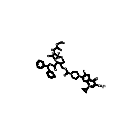 CC(C)(C)OC(=O)N[C@@H]1C(=O)N2C(C(=O)OC(c3ccccc3)c3ccccc3)=C(COC(=O)N3CCN(c4cc5c(cc4F)c(=O)c(C(=O)O)cn5C4CC4)CC3)CS[C@H]12